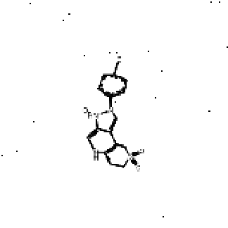 O=S1(=O)CCC2=C(C1)C1=CN(c3ccc(Cl)cc3)[NH+]([O-])C1=CN2